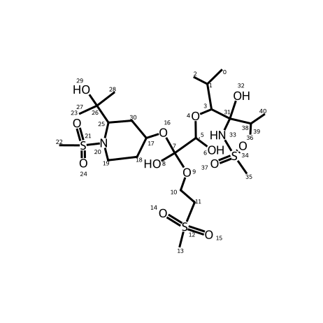 CC(C)C(O[C](O)C(O)(OCCS(C)(=O)=O)OC1CCN(S(C)(=O)=O)C(C(C)(C)O)C1)C(O)(NS(C)(=O)=O)C(C)C